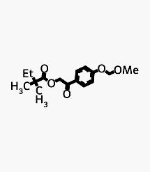 CCC(C)(C)C(=O)OCC(=O)c1ccc(OCOC)cc1